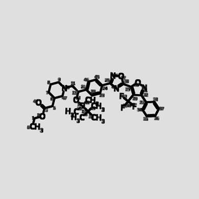 CCOC(=O)CC1CCCN(C[C@H](O[Si](C)(C)C(C)(C)C)c2ccc(-c3noc(-c4onc(-c5ccccc5)c4C(F)(F)F)n3)cc2)C1